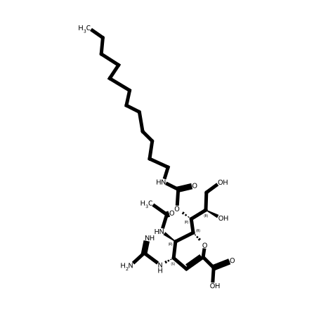 CCCCCCCCCCCCNC(=O)O[C@@H]([C@@H]1OC(C(=O)O)=C[C@H](NC(=N)N)[C@H]1NC(C)=O)[C@H](O)CO